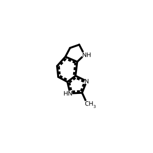 Cc1nc2c3c(ccc2[nH]1)CCN3